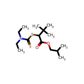 CCN(CC)C(=S)SC(C(=O)OCC(C)C)C(C)(C)C